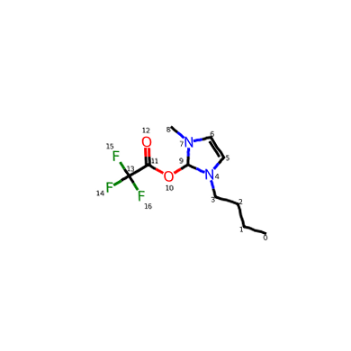 CCCCN1C=CN(C)C1OC(=O)C(F)(F)F